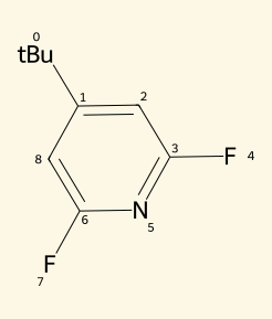 CC(C)(C)c1cc(F)nc(F)c1